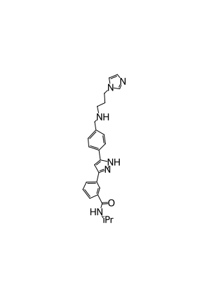 CC(C)NC(=O)c1cccc(-c2cc(-c3ccc(CNCCCn4ccnc4)cc3)[nH]n2)c1